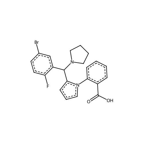 O=C(O)c1ccccc1-n1cccc1C(c1cc(Br)ccc1F)N1CCCC1